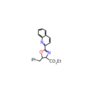 CCOC(=O)C1N=C(c2ccc3ccccc3n2)OC1CC(C)C